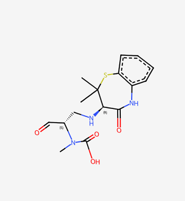 CN(C(=O)O)[C@H](C=O)CN[C@@H]1C(=O)Nc2ccccc2SC1(C)C